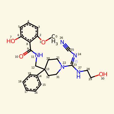 COc1cccc(O)c1C(=O)NCC1(c2ccccc2)CCN(/C(=N\C#N)NCCO)CC1